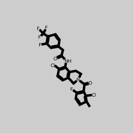 Cc1ccc(F)c(C(=O)N2CCc3c(ccc(Cl)c3NC(=O)Cc3ccc(C(F)(F)F)c(F)c3)C2)c1Cl